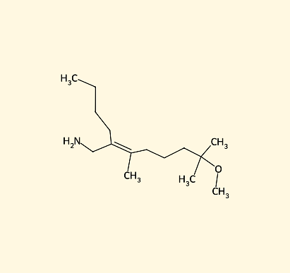 CCCC/C(CN)=C(/C)CCCC(C)(C)OC